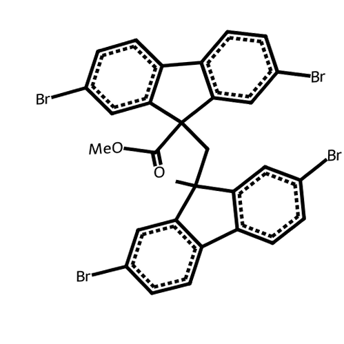 COC(=O)C1(CC2(C)c3cc(Br)ccc3-c3ccc(Br)cc32)c2cc(Br)ccc2-c2ccc(Br)cc21